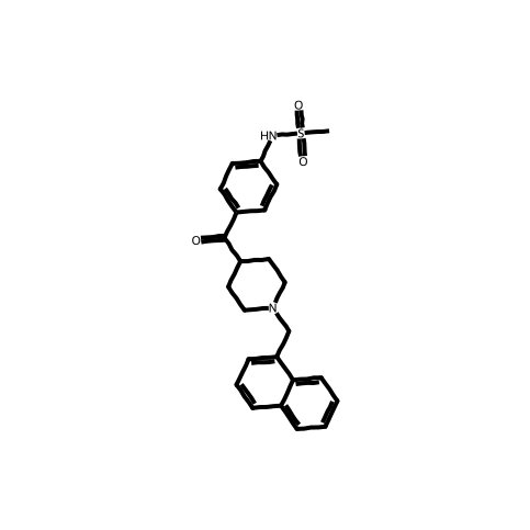 CS(=O)(=O)Nc1ccc(C(=O)C2CCN(Cc3cccc4ccccc34)CC2)cc1